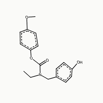 CCN(Cc1ccc(O)cc1)C(=O)Oc1ccc(OC)cc1